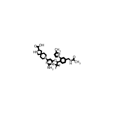 CC(=O)NCc1ccc(C(Oc2cc(N3CCC4(CC3)CNC(C(=O)O)C4)nc(N)n2)C(F)(F)F)c(-n2ccc(C)n2)c1